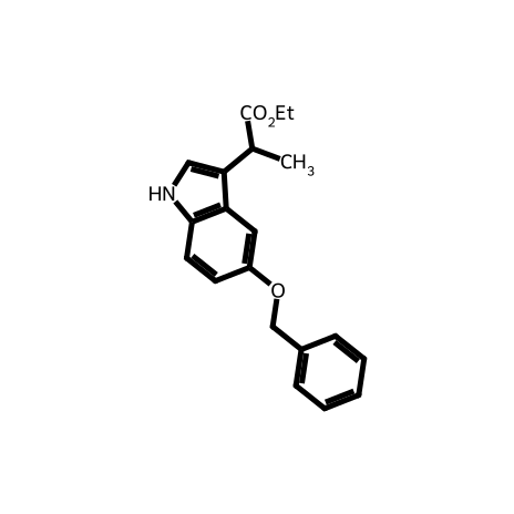 CCOC(=O)C(C)c1c[nH]c2ccc(OCc3ccccc3)cc12